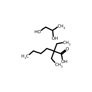 CC(O)CO.CCCCC(CC)(CC)C(=O)O